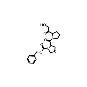 O=C(CO)C1CCCN1C(=O)C1CSCN1C(=O)OCc1ccccc1